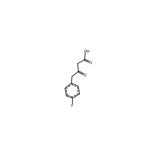 O=C(O)CC(=O)Cc1ccc(F)cc1